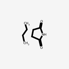 CCCC.O=C1CCC(=O)N1